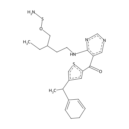 CCC(CCNc1ncncc1C(=O)c1cc(C(C)C2=CCCC=C2)cs1)COSN